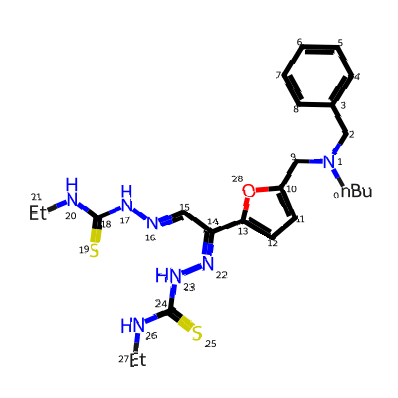 CCCCN(Cc1ccccc1)Cc1ccc(C(/C=N/NC(=S)NCC)=N/NC(=S)NCC)o1